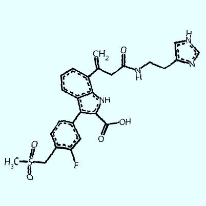 C=C(CC(=O)NCCc1c[nH]cn1)c1cccc2c(-c3ccc(CS(C)(=O)=O)c(F)c3)c(C(=O)O)[nH]c12